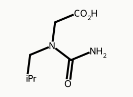 CC(C)CN(CC(=O)O)C(N)=O